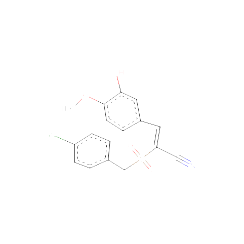 COc1ccc(/C=C(/C#N)S(=O)(=O)Cc2ccc(Cl)cc2)cc1O